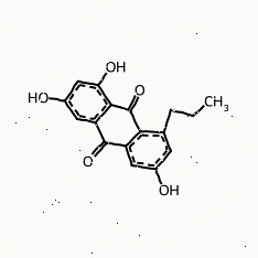 CCCc1cc(O)cc2c1C(=O)c1c(O)cc(O)cc1C2=O